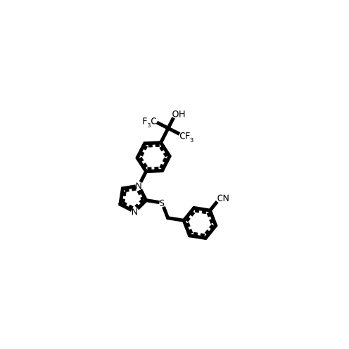 N#Cc1cccc(CSc2nccn2-c2ccc(C(O)(C(F)(F)F)C(F)(F)F)cc2)c1